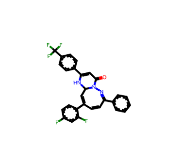 O=C1C=C(c2ccc(C(F)(F)F)cc2)NC2C=C(c3ccc(F)cc3F)C=CC(c3ccccc3)=NN12